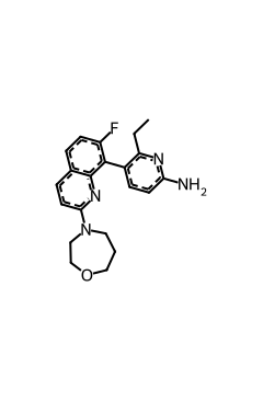 CCc1nc(N)ccc1-c1c(F)ccc2ccc(N3CCCOCC3)nc12